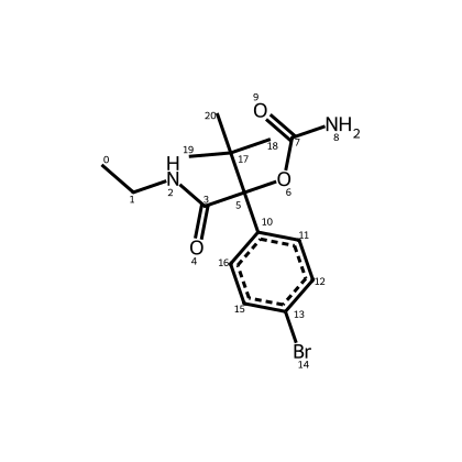 CCNC(=O)C(OC(N)=O)(c1ccc(Br)cc1)C(C)(C)C